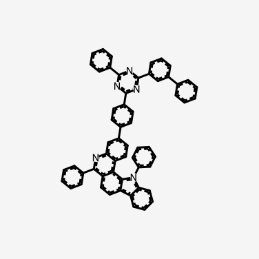 c1ccc(-c2cccc(-c3nc(-c4ccccc4)nc(-c4ccc(-c5ccc6c(c5)nc(-c5ccccc5)c5ccc7c8ccccc8n(-c8ccccc8)c7c56)cc4)n3)c2)cc1